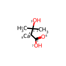 CC(C)(O)CC(=O)O.[Ca]